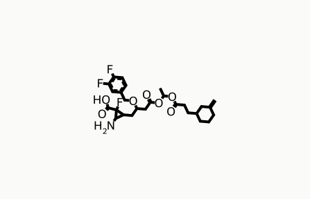 C=C1CCCC(CCC(=O)OC(C)OC(=O)CC(CC2C(N)C2(F)C(=O)O)OCc2ccc(F)c(F)c2)C1